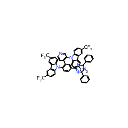 FC(F)(F)c1ccc2c(c1)c1cc(C(F)(F)F)ccc1n2-c1ccc(-c2nc(-c3ccccc3)nc(-c3ccccc3)n2)cc1-c1ccncc1-n1c2ccc(C(F)(F)F)cc2c2cc(C(F)(F)F)ccc21